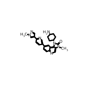 Cn1cc(-c2ccc(-c3ccc4ncc5c(c4c3)n([C@H]3CC[C@H](N)CC3)c(=O)n5C)cn2)cn1